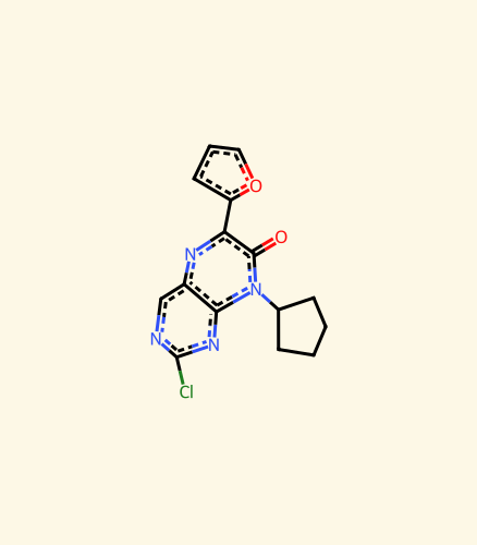 O=c1c(-c2ccco2)nc2cnc(Cl)nc2n1C1CCCC1